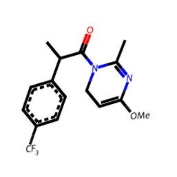 COC1=CCN(C(=O)C(C)c2ccc(C(F)(F)F)cc2)C(C)=N1